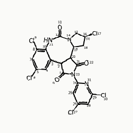 O=C1C2c3cc(Cl)cc(Cl)c3NC(=O)N3C[C@@H](Cl)CC3C2C(=O)N1c1cc(Cl)cc(Cl)n1